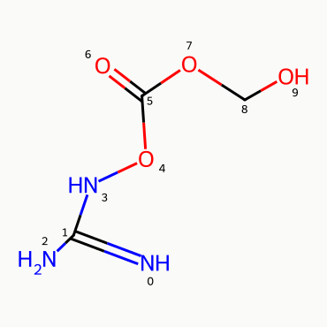 N=C(N)NOC(=O)OCO